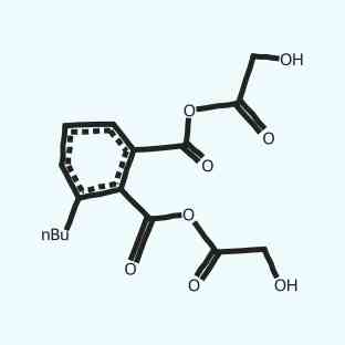 CCCCc1cccc(C(=O)OC(=O)CO)c1C(=O)OC(=O)CO